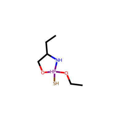 CCO[PH]1(S)NC(CC)CO1